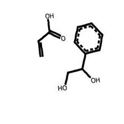 C=CC(=O)O.OCC(O)c1ccccc1